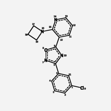 Clc1cccc(-c2noc(-c3cccnc3N3CCC3)n2)c1